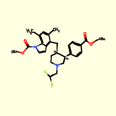 Cc1cc(C)c2c(ccn2C(=O)OC(C)(C)C)c1C[C@@H]1CCN(CC(F)F)C[C@H]1c1ccc(C(=O)OC(C)(C)C)cc1